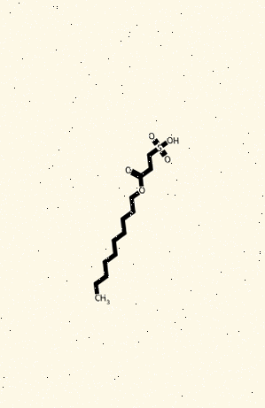 CCCCCCCCCCOC(=O)CCS(=O)(=O)O